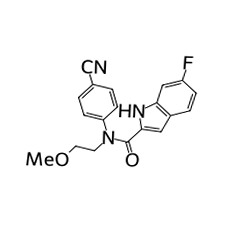 COCCN(C(=O)c1cc2ccc(F)cc2[nH]1)c1ccc(C#N)cc1